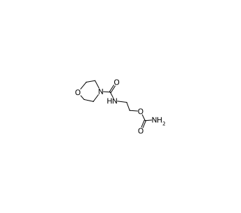 NC(=O)OCCNC(=O)N1CCOCC1